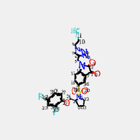 O=C1C(=O)N(Cc2cn(CC[18F])nn2)c2ccc(S(=O)(=O)N3CCC[C@H]3COc3ccc(F)cc3F)cc21